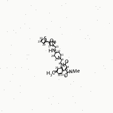 CNC(=O)c1cc(=O)n(CCN2CCC(NCc3cc(-c4cccs4)on3)CC2)c2cc(C)ccc12